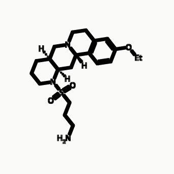 CCOc1ccc2c(c1)CCN1C[C@@H]3CCCN(S(=O)(=O)CCCN)[C@@H]3C[C@@H]21